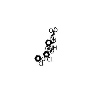 COC(=O)CCn1ncc2c1CCCC2NS(=O)(=O)c1ccc(Oc2ccccc2Cl)c(Cl)c1